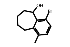 Cc1ccc(Br)c2c1CCCCC2O